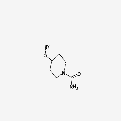 CC(C)OC1CCN(C(N)=O)CC1